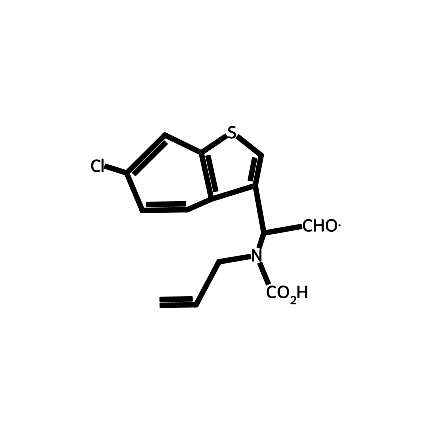 C=CCN(C(=O)O)C([C]=O)c1csc2cc(Cl)ccc12